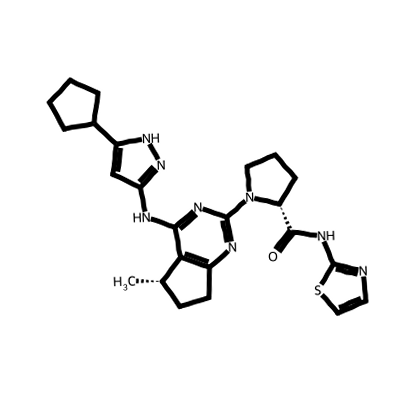 C[C@H]1CCc2nc(N3CCC[C@@H]3C(=O)Nc3nccs3)nc(Nc3cc(C4CCCC4)[nH]n3)c21